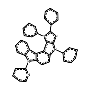 c1ccc(-c2nc3c(c4c5c6ccccc6n(-c6ccccn6)c5ccc4n3-c3ccccc3)n2-c2ccccc2)cc1